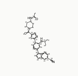 CC(=O)NC1CCN(C(=O)c2nnc(-c3cnc(-c4ccc5cc(C#N)cnn45)cc3NC(C)C)s2)CC1